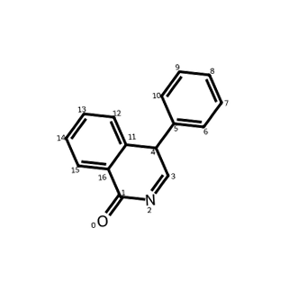 O=C1N=CC(c2ccccc2)c2ccccc21